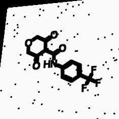 O=C1COCC(=O)C1C(=O)Nc1ccc(C(F)(F)F)cc1